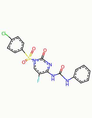 O=C(Nc1ccccc1)Nc1nc(=O)n(S(=O)(=O)c2ccc(Cl)cc2)cc1F